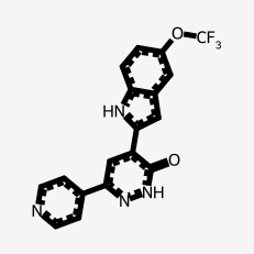 O=c1[nH]nc(-c2ccncc2)cc1-c1cc2cc(OC(F)(F)F)ccc2[nH]1